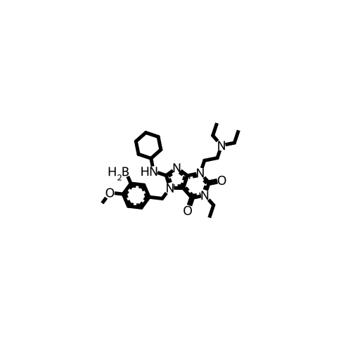 Bc1cc(Cn2c(NC3CCCCC3)nc3c2c(=O)n(CC)c(=O)n3CCN(CC)CC)ccc1OC